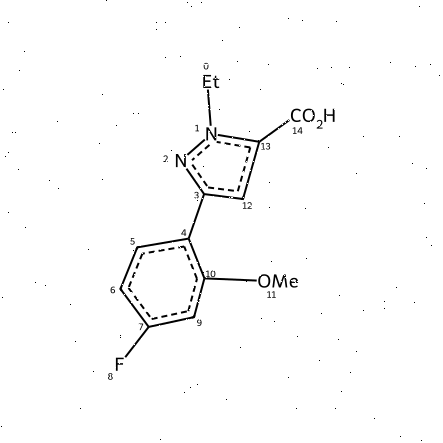 CCn1nc(-c2ccc(F)cc2OC)cc1C(=O)O